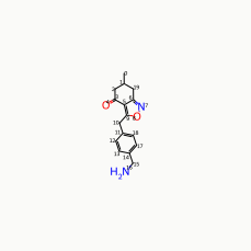 CC1CC(=O)c2c(noc2Cc2ccc(CN)cc2)C1